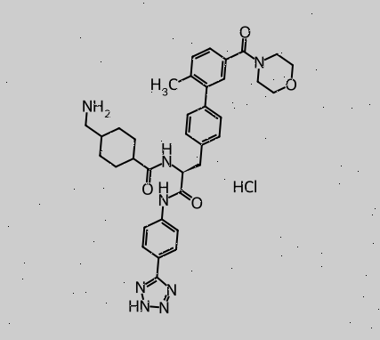 Cc1ccc(C(=O)N2CCOCC2)cc1-c1ccc(C[C@H](NC(=O)C2CCC(CN)CC2)C(=O)Nc2ccc(-c3nn[nH]n3)cc2)cc1.Cl